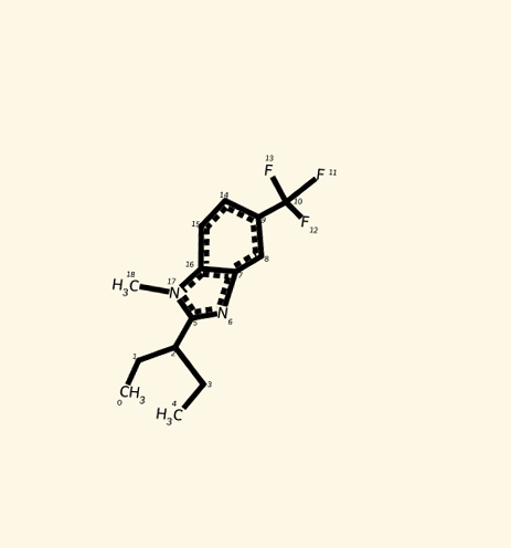 CCC(CC)c1nc2cc(C(F)(F)F)ccc2n1C